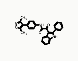 Cc1noc(C)c1-c1ccc(NC(=O)C(=O)c2c(-c3ccccc3)[nH]c3ccccc23)cc1